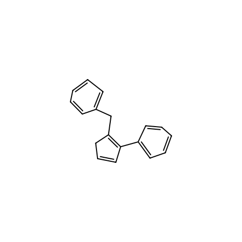 C1=CC(c2ccccc2)=C(Cc2ccccc2)C1